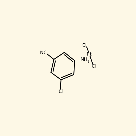 N.N#Cc1cccc(Cl)c1.[Cl][Pt][Cl]